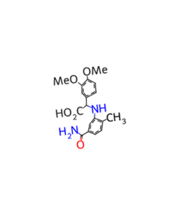 COc1ccc(C(Nc2cc(C(N)=O)ccc2C)C(=O)O)cc1OC